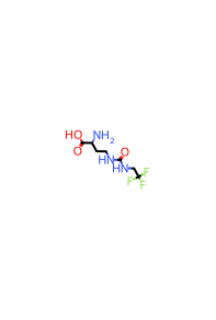 N[C@@H](CCNC(=O)NCC(F)(F)F)C(=O)O